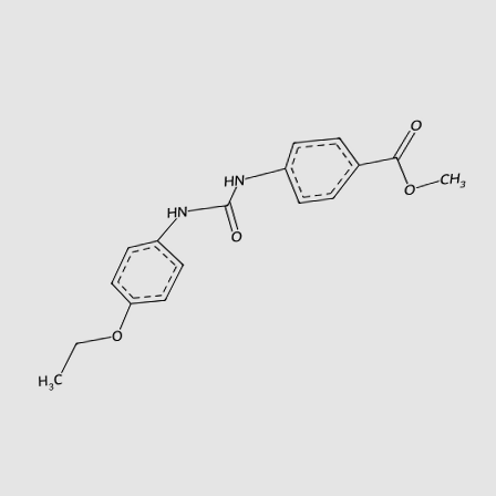 CCOc1ccc(NC(=O)Nc2ccc(C(=O)OC)cc2)cc1